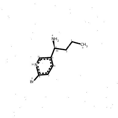 CCC[C@H](N)c1ccc(Br)nc1